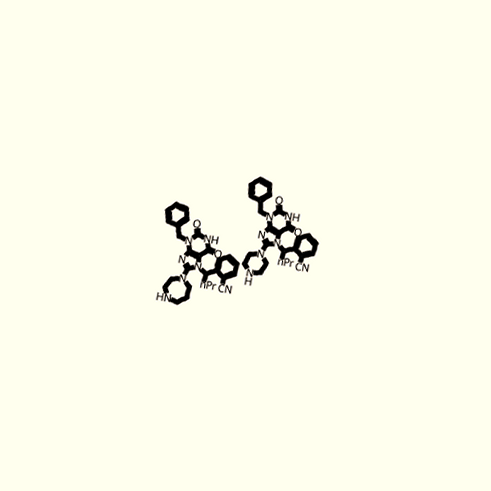 CCCC(c1ccccc1C#N)n1c(N2CCCNCC2)nc2c1c(=O)[nH]c(=O)n2Cc1ccccc1.CCCC(c1ccccc1C#N)n1c(N2CCNCC2)nc2c1c(=O)[nH]c(=O)n2Cc1ccccc1